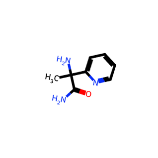 CC(N)(C(N)=O)c1ccccn1